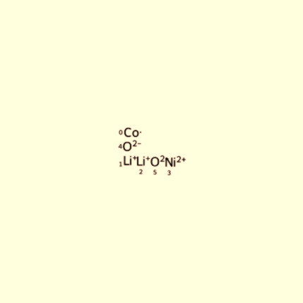 [Co].[Li+].[Li+].[Ni+2].[O-2].[O-2]